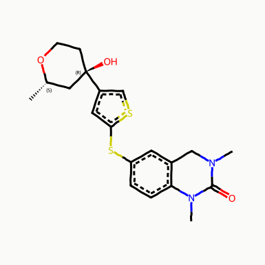 C[C@H]1C[C@@](O)(c2csc(Sc3ccc4c(c3)CN(C)C(=O)N4C)c2)CCO1